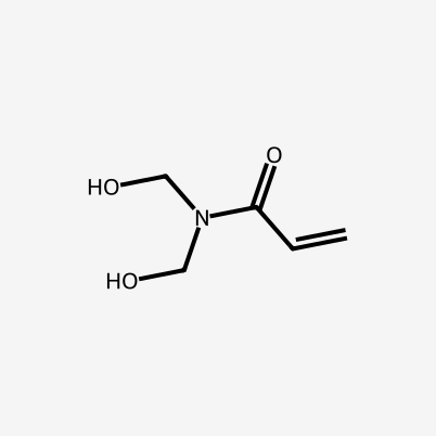 C=CC(=O)N(CO)CO